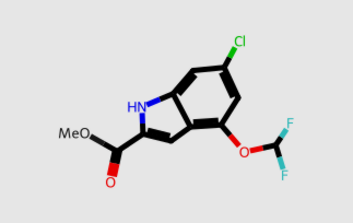 COC(=O)c1cc2c(OC(F)F)cc(Cl)cc2[nH]1